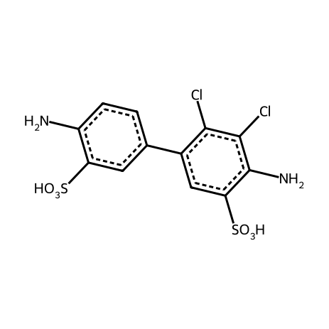 Nc1ccc(-c2cc(S(=O)(=O)O)c(N)c(Cl)c2Cl)cc1S(=O)(=O)O